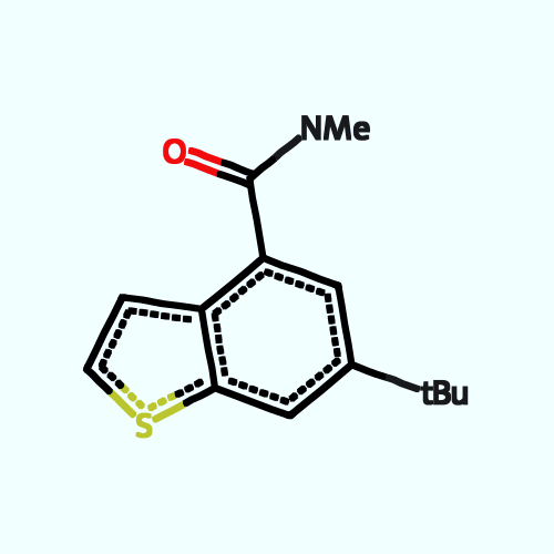 CNC(=O)c1cc(C(C)(C)C)cc2sccc12